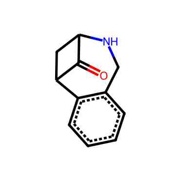 O=C1C2CC1c1ccccc1CN2